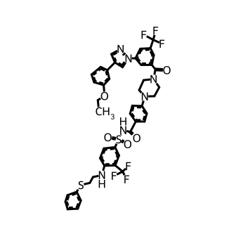 CCOc1cccc(-c2cnn(-c3cc(C(=O)N4CCN(c5ccc(C(=O)NS(=O)(=O)c6ccc(NCCSc7ccccc7)c(C(F)(F)F)c6)cc5)CC4)cc(C(F)(F)F)c3)c2)c1